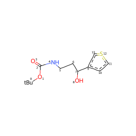 CC(C)(C)OC(=O)NCCC(O)c1ccsc1